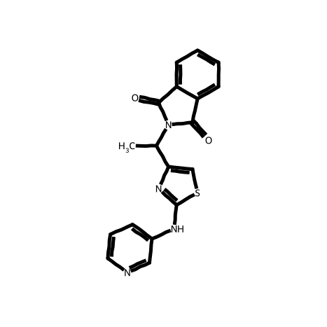 CC(c1csc(Nc2cccnc2)n1)N1C(=O)c2ccccc2C1=O